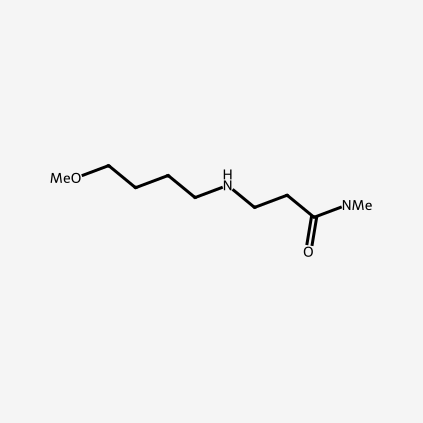 CNC(=O)CCNCCCCOC